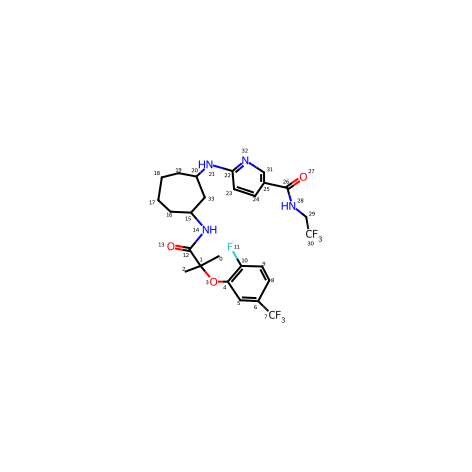 CC(C)(Oc1cc(C(F)(F)F)ccc1F)C(=O)NC1CCCCC(Nc2ccc(C(=O)NCC(F)(F)F)cn2)C1